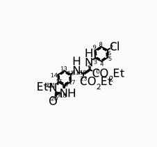 CCOC(=O)/C(Nc1ccc(Cl)cc1)=C(/Nc1ccc2c(c1)[nH]c(=O)n2CC)C(=O)OCC